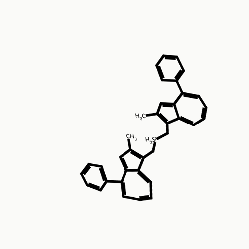 Cc1cc2c(-c3ccccc3)ccccc-2c1C[SiH2]Cc1c(C)cc2c(-c3ccccc3)ccccc1-2